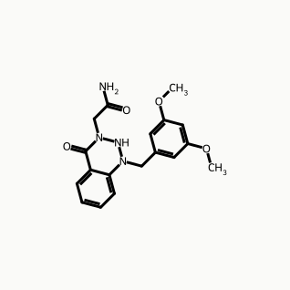 COc1cc(CN2NN(CC(N)=O)C(=O)c3ccccc32)cc(OC)c1